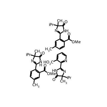 CC(C)C1(C)N=C(c2ncccc2C(=O)O)NC1=O.COC(=O)c1cc(C)ccc1C1=NC(C)(C(C)C)C(=O)N1.COC(=O)c1ccc(C)cc1C1=NC(C)(C(C)C)C(=O)N1